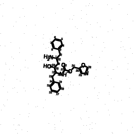 N[C@@H](Cc1ccccc1)C[C@H](O)[C@H](Cc1ccccc1)NC(=O)OCc1cnco1